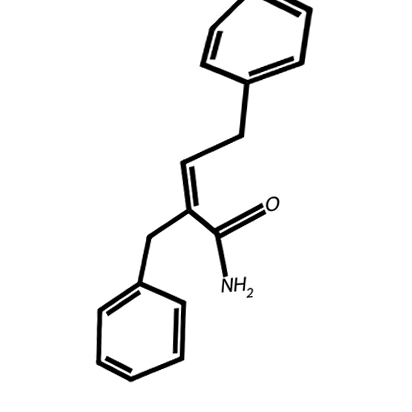 NC(=O)C(=CCc1ccccc1)Cc1ccccc1